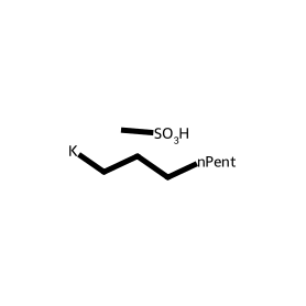 CCCCCCC[CH2][K].CS(=O)(=O)O